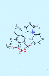 CCc1ccc(C(=O)O)c(C(=O)O)c1CC.O=C1CCCN1C1CCCCC1